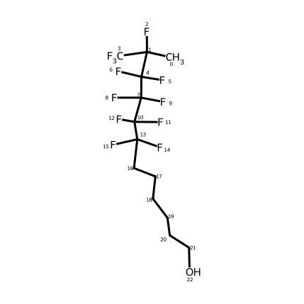 CC(F)(C(F)(F)F)C(F)(F)C(F)(F)C(F)(F)C(F)(F)CCCCCCO